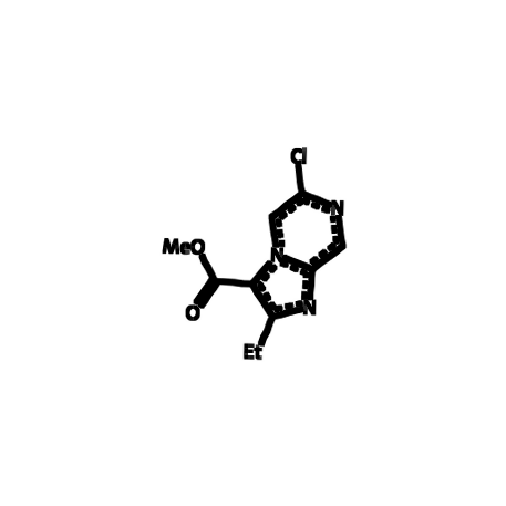 CCc1nc2cnc(Cl)cn2c1C(=O)OC